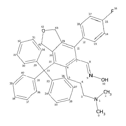 CN(C)CCCc1c(C=NO)c(-c2ccc(F)cc2)c2c(c1C(c1ccccc1)(c1ccccc1)c1ccccc1)COC2